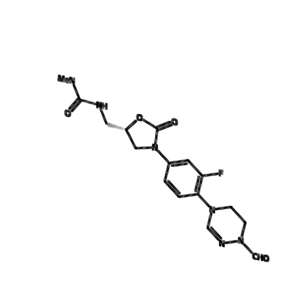 CNC(=O)NC[C@H]1CN(c2ccc(N3C=NN(C=O)CC3)c(F)c2)C(=O)O1